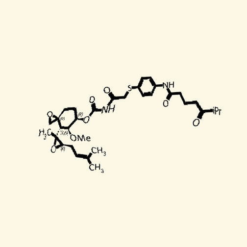 CO[C@H]1[C@H](C2(C)O[C@@H]2CC=C(C)C)[C@]2(CC[C@H]1OC(=O)NC(=O)CSc1ccc(NC(=O)CCCC(=O)C(C)C)cc1)CO2